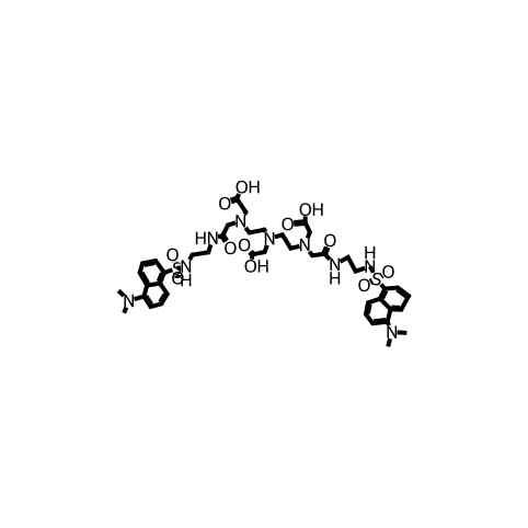 CN(C)c1cccc2c(S(=O)(=O)NCCNC(=O)CN(CCN(CCN(CC(=O)O)CC(=O)NCCNS(=O)(=O)c3cccc4c(N(C)C)cccc34)CC(=O)O)CC(=O)O)cccc12